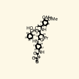 COc1ccc(C(CC(=O)O)NC(=O)C(CC(=O)Nc2ccc(NC(=O)N=S(=O)=O)cc2)CC(C)C)cc1OC.Cc1ccccc1